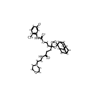 O=C(CCC1(CCOC(=O)Nc2cc(Cl)ccc2Cl)OOC2(O1)C1CC3CC(C1)CC2C3)NCCN1CCOCC1